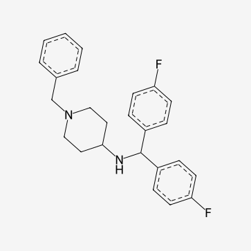 Fc1ccc(C(NC2CCN(Cc3ccccc3)CC2)c2ccc(F)cc2)cc1